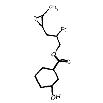 CCC(COC(=O)C1CCCC(O)C1)CC1OC1C